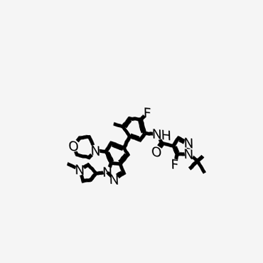 Cc1cc(F)c(NC(=O)c2cnn(C(C)(C)C)c2F)cc1-c1cc(N2CCOCC2)c2c(cnn2C2CCN(C)C2)c1